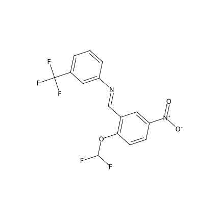 O=[N+]([O-])c1ccc(OC(F)F)c(C=Nc2cccc(C(F)(F)F)c2)c1